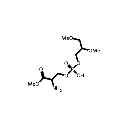 COCC(COP(=O)(O)OCC(N)C(=O)OC)OC